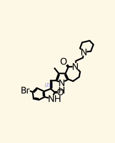 Cc1c(/C=C2\C(=O)Nc3ccc(Br)cc32)[nH]c2c1C(=O)N(CCN1CCCCC1)CCC2